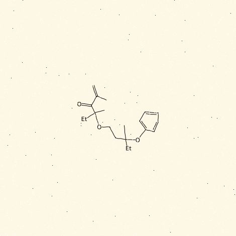 C=C(C)C(=O)C(C)(CC)OCCC(C)(CC)Oc1ccccc1